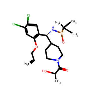 C=CCOc1cc(Cl)c(Cl)cc1[C@H](N[S+]([O-])C(C)(C)C)C1CCN(C(=O)[C@@H](C)O)CC1